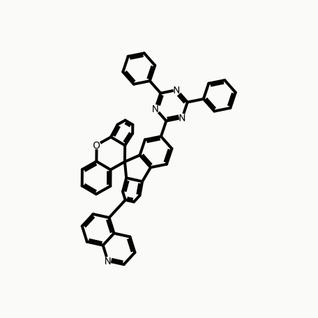 c1ccc(-c2nc(-c3ccccc3)nc(-c3ccc4c(c3)C3(c5ccccc5Oc5ccccc53)c3cc(-c5cccc6ncccc56)ccc3-4)n2)cc1